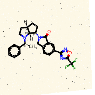 C[C@H](c1ccccc1)N1CC[C@@H]2CC[C@@H](N3Cc4ccc(-c5noc(C(F)(F)F)n5)cc4C3=O)[C@@H]21